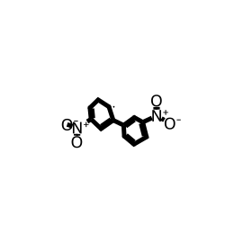 O=[N+]([O-])C1=CC[CH]C(c2cccc([N+](=O)[O-])c2)=C1